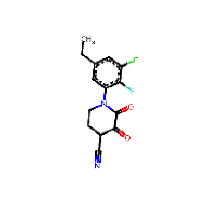 CCc1cc(Cl)c(F)c(N2CCC(C#N)C(=O)C2=O)c1